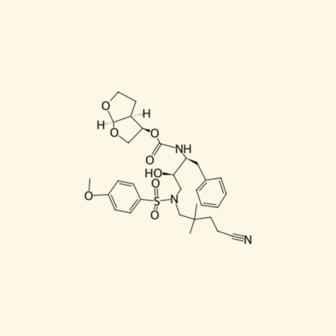 COc1ccc(S(=O)(=O)N(C[C@@H](O)[C@H](Cc2ccccc2)NC(=O)O[C@H]2CO[C@H]3OCC[C@H]32)CC(C)(C)CCC#N)cc1